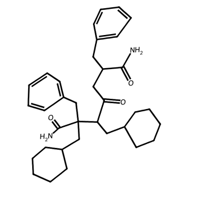 NC(=O)C(CC(=O)C(CC1CCCCC1)C(Cc1ccccc1)(CC1CCCCC1)C(N)=O)Cc1ccccc1